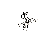 CCNc1nc(N[C@@H](C)C(C)C)nc(C2=C(F)C(O)CCC2)n1